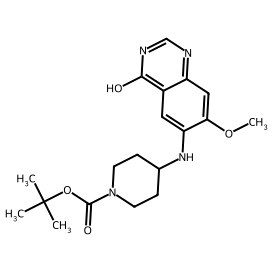 COc1cc2ncnc(O)c2cc1NC1CCN(C(=O)OC(C)(C)C)CC1